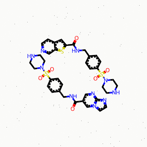 O=C(NCc1ccc(S(=O)(=O)N2CCNCC2)cc1)c1cc2ccncc2s1.O=C(NCc1ccc(S(=O)(=O)N2CCNCC2)cc1)c1cnc2nccn2c1